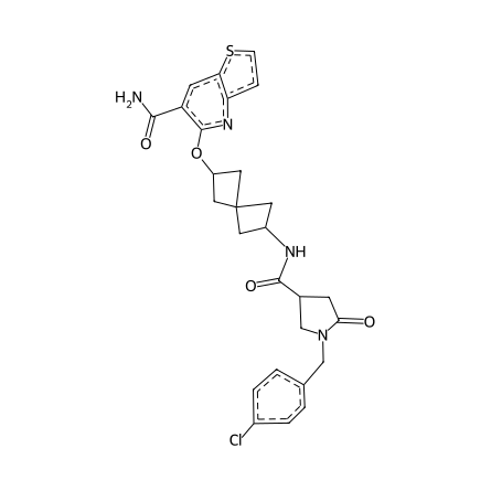 NC(=O)c1cc2sccc2nc1OC1CC2(CC(NC(=O)C3CC(=O)N(Cc4ccc(Cl)cc4)C3)C2)C1